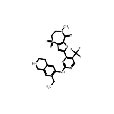 CCc1cc2c(cc1Nc1ncc(C(F)(F)F)c(-c3cc4c(s3)C(=O)N(C)CCS4(=O)=O)n1)CCNC2